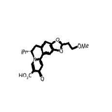 COCCC1Oc2cc3c(cc2O1)-c1cc(=O)c(C(=O)O)cn1[C@H](C(C)C)C3